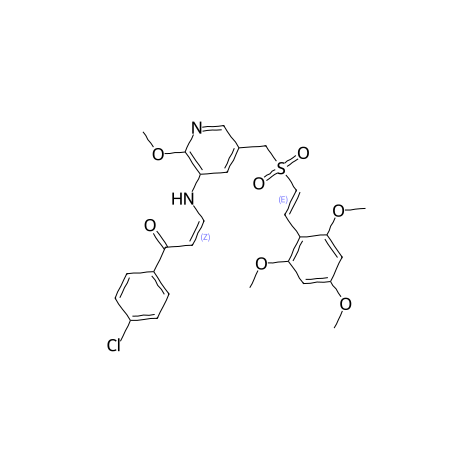 COc1cc(OC)c(/C=C/S(=O)(=O)Cc2cnc(OC)c(N/C=C\C(=O)c3ccc(Cl)cc3)c2)c(OC)c1